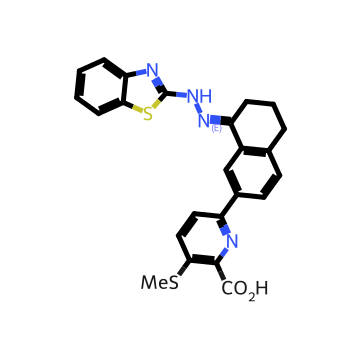 CSc1ccc(-c2ccc3c(c2)/C(=N/Nc2nc4ccccc4s2)CCC3)nc1C(=O)O